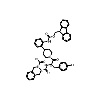 O=C(Nc1ccccc1C1CCN(C(=O)[C@@H](Cc2ccc(Cl)cc2)NC(=O)[C@@H]2Cc3ccccc3CN2C(=O)O)CC1)OCC1c2ccccc2-c2ccccc21